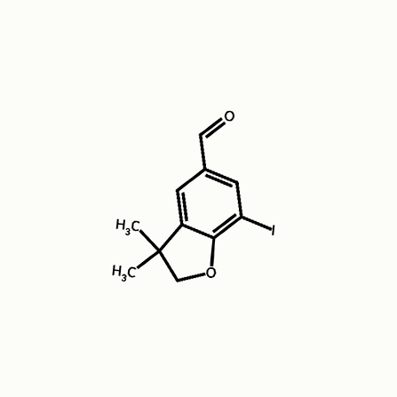 CC1(C)COc2c(I)cc(C=O)cc21